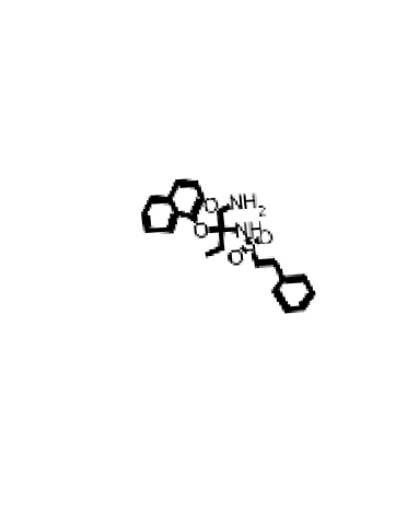 CCC(NS(=O)(=O)C=Cc1ccccc1)(Oc1cccc2ccccc12)C(N)=O